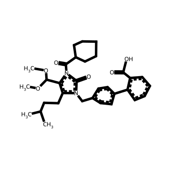 COC(OC)c1c(CCC(C)C)n(Cc2ccc(-c3ccccc3C(=O)O)cc2)c(=O)n1C(=O)C1CCCCC1